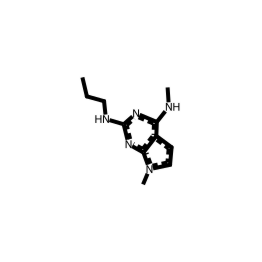 CCCNc1nc(NC)c2ccn(C)c2n1